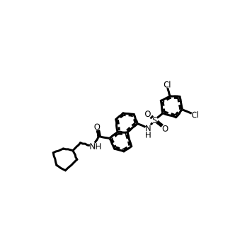 O=C(NCC1CCCCC1)c1cccc2c(NS(=O)(=O)c3cc(Cl)cc(Cl)c3)cccc12